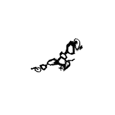 CCC[C@@]12CCC[C@]1(C)C1=C(C=CC(c3ccc(OCC)cc3)C1)C1=C2CC(c2ccc(OCC)cc2)C=C1